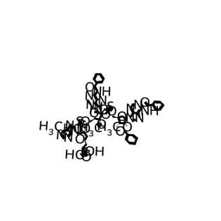 CO[C@H]1[C@@H](OP(O)(=S)OC[C@H]2O[C@@H](n3cnc4c(NC(=O)c5ccccc5)ncnc43)[C@H](OC(=O)c3ccccc3)[C@@H]2C)[C@H](n2cnc3c(NC(=O)c4ccccc4)ncnc32)O[C@@H]1COP(O)(=S)O[C@@H]1C[C@@H](CCP(=O)(O)O)O[C@H]1n1cnc2c(C)ncnc21